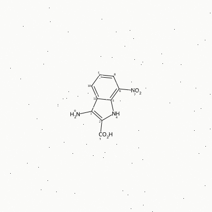 Nc1c(C(=O)O)[nH]c2c([N+](=O)[O-])cccc12